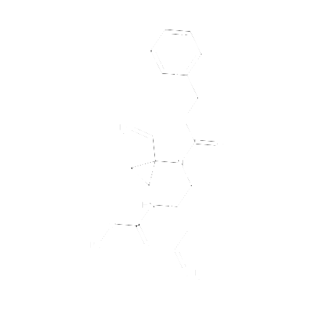 C=CC[C@@H](CN(C(=O)OCc1ccccc1)C1(C=C)CC1)NC(=O)OC(C)(C)C